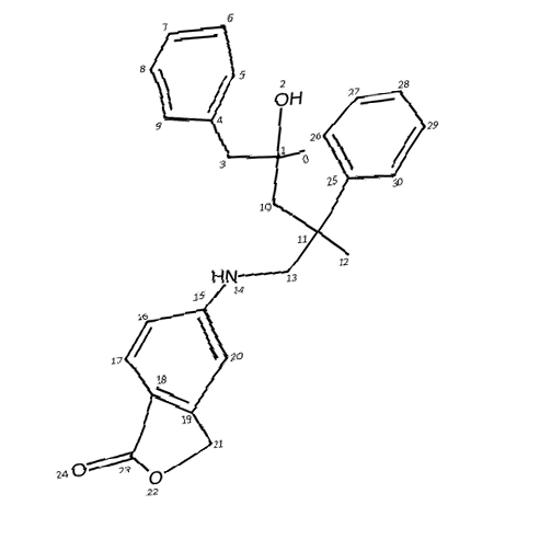 CC(O)(Cc1ccccc1)CC(C)(CNc1ccc2c(c1)COC2=O)c1ccccc1